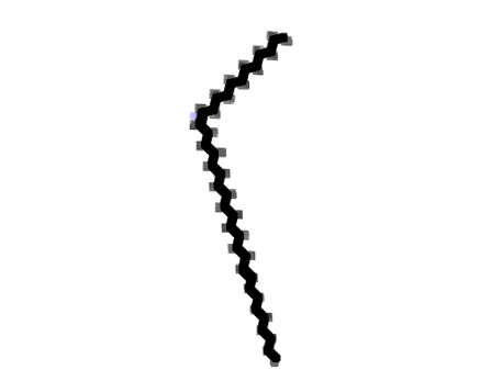 CCCCCCCCC=CCCCCCCCC[CH]CCCC/C=C\CCCCCCCCCCC